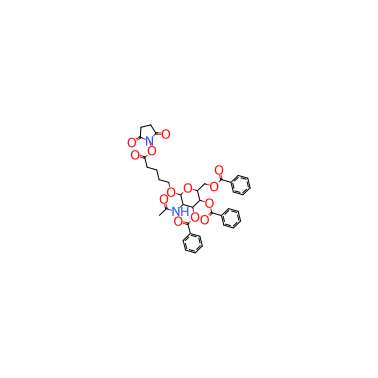 CC(=O)NC1C(OCCCCC(=O)ON2C(=O)CCC2=O)OC(COC(=O)c2ccccc2)C(OC(=O)c2ccccc2)C1OC(=O)c1ccccc1